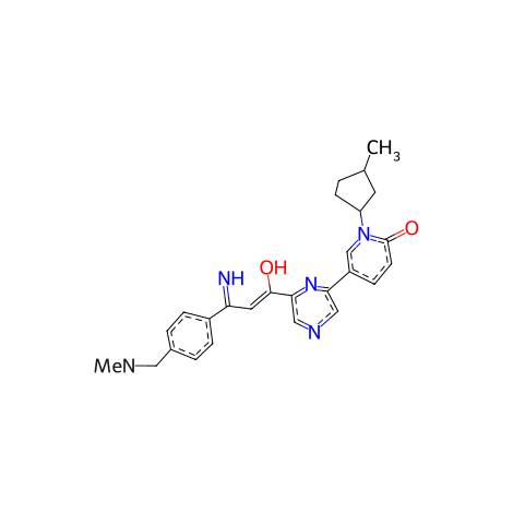 CNCc1ccc(C(=N)/C=C(\O)c2cncc(-c3ccc(=O)n(C4CCC(C)C4)c3)n2)cc1